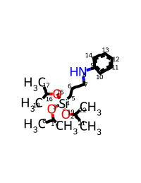 CC(C)O[Si](CCCNc1ccccc1)(OC(C)C)OC(C)C